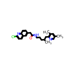 Cc1cnc(CC(C)CCCNC(=O)Cc2ccc3nc(Cl)ccc3c2)c(C)c1